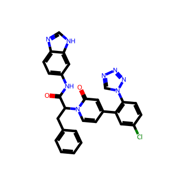 O=C(Nc1ccc2nc[nH]c2c1)C(Cc1ccccc1)n1ccc(-c2cc(Cl)ccc2-n2cnnn2)cc1=O